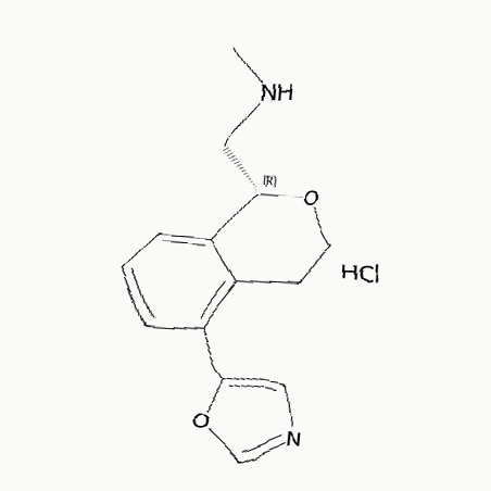 CNC[C@@H]1OCCc2c(-c3cnco3)cccc21.Cl